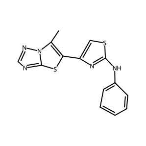 Cc1c(-c2csc(Nc3ccccc3)n2)sc2ncnn12